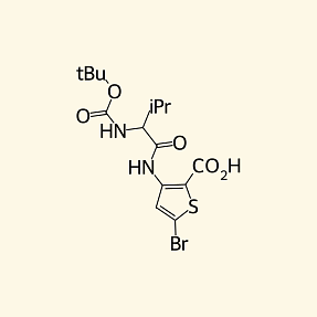 CC(C)C(NC(=O)OC(C)(C)C)C(=O)Nc1cc(Br)sc1C(=O)O